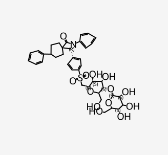 O=C1N(c2ccccc2)[C@H](c2ccc(S(=O)(=O)C[C@@H]3OC(CO)[C@@H](O[C@@H]4OC(CO)[C@@H](O)C(O)[C@@H]4O)C(O)[C@@H]3O)cc2)C12CCC(c1ccccc1)CC2